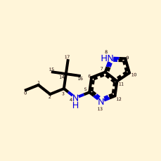 CCCC(Nc1cc2[nH]ccc2cn1)C(C)(C)C